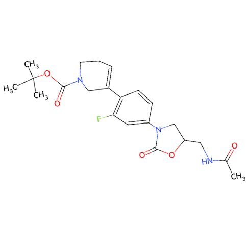 CC(=O)NCC1CN(c2ccc(C3=CCCN(C(=O)OC(C)(C)C)C3)c(F)c2)C(=O)O1